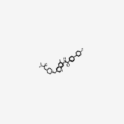 Cc1cc2cc(CN3CCC(CC(=O)N(C)C)CC3)cnc2cc1NC(=O)c1ccc(-c2ccc(F)cc2)cc1